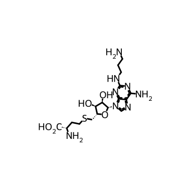 NCCCNc1nc(N)c2ncn([C@@H]3O[C@H](CSCC[C@H](N)C(=O)O)[C@@H](O)[C@H]3O)c2n1